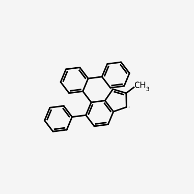 CC1=Cc2c(ccc(-c3ccccc3)c2-c2ccccc2-c2ccccc2)[CH]1